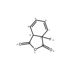 O=C1OC(=O)C2(F)C=CC=CC12